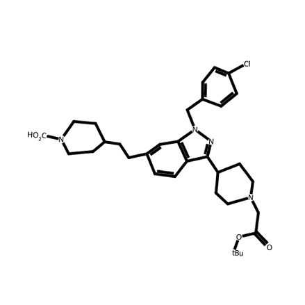 CC(C)(C)OC(=O)CN1CCC(c2nn(Cc3ccc(Cl)cc3)c3cc(CCC4CCN(C(=O)O)CC4)ccc23)CC1